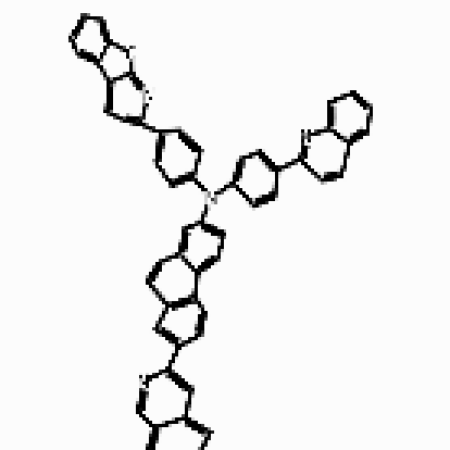 c1ccc2cc(-c3ccc4c(ccc5cc(N(c6ccc(-c7ccc8ccccc8n7)cc6)c6ccc(-c7ccc8c(n7)oc7ccccc78)cc6)ccc54)c3)ncc2c1